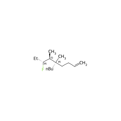 C=CCC[C@@](C)(CCCC)[C@H](C)[C@H](F)CC